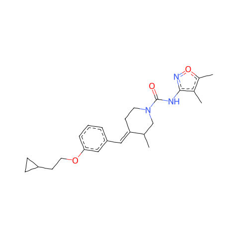 Cc1onc(NC(=O)N2CCC(=Cc3cccc(OCCC4CC4)c3)C(C)C2)c1C